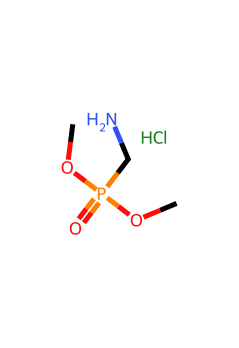 COP(=O)(CN)OC.Cl